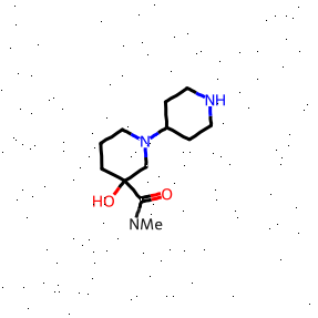 CNC(=O)C1(O)CCCN(C2CCNCC2)C1